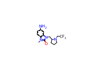 Cn1c(=O)n(CC2CCCN2CC(F)(F)F)c2cc(N)ccc21